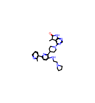 Cc1ncccc1-c1ccc(NCCN2CCCC2)c(C2CCN(c3ncnc4c3C(C)C(=O)N4)CC2)n1